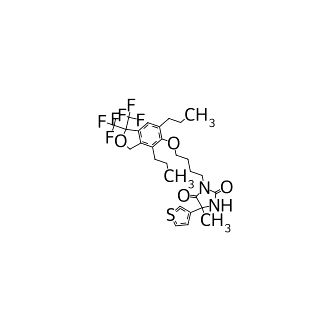 CCCc1cc2c(c(CCC)c1OCCCCN1C(=O)NC(C)(c3ccsc3)C1=O)COC2(C(F)(F)F)C(F)(F)F